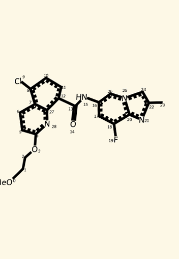 COCCOc1ccc2c(Cl)ccc(C(=O)Nc3cc(F)c4nc(C)cn4c3)c2n1